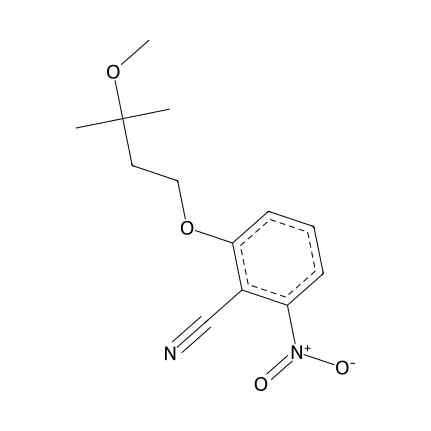 COC(C)(C)CCOc1cccc([N+](=O)[O-])c1C#N